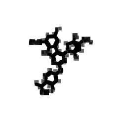 CNc1cc(F)cc2c1[nH]c1nc(Oc3cnc(C(C)O)c(F)c3)nc(N3C[C@H]4C[C@@H]3C[C@@H]4N)c12